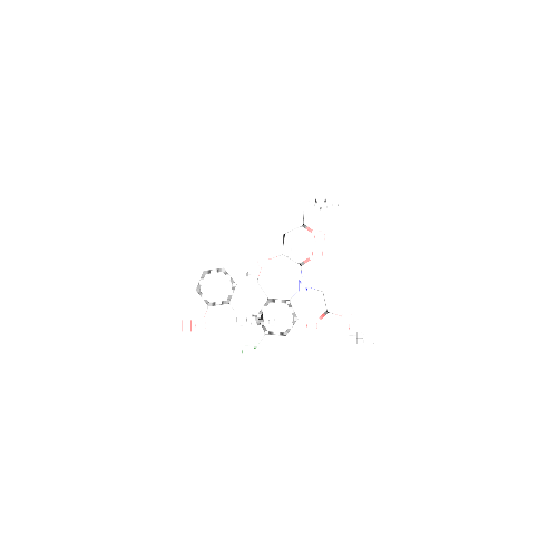 COC(=O)C[C@@H]1O[C@@H](c2cccc(O)c2OC)c2cc(Cl)ccc2N(CC(=O)OC(C)(C)C)C1=O